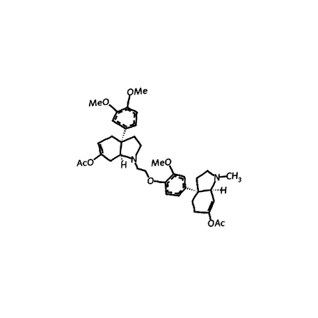 COc1ccc([C@@]23CC=C(OC(C)=O)C[C@@H]2N(CCOc2ccc([C@@]45CCC(OC(C)=O)=C[C@@H]4N(C)CC5)cc2OC)CC3)cc1OC